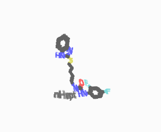 CCCCCCCN(CCCCCSc1nc2ccccc2[nH]1)C(=O)Nc1ccc(F)cc1F